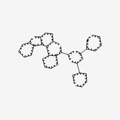 c1cncc(-c2cc(-c3cccnc3)nc(-c3nc4ccc5sc6ccccc6c5c4c4ccccc34)n2)c1